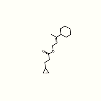 CC(=CCOC(=O)CCC1CC1)C1CCCCC1